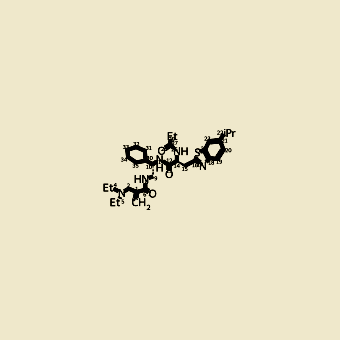 C=C(CN(CC)CC)C(=O)NC[C@@H](NC(=O)[C@H](Cc1nc2ccc(C(C)C)cc2s1)NC(=O)CC)C1CCCCC1